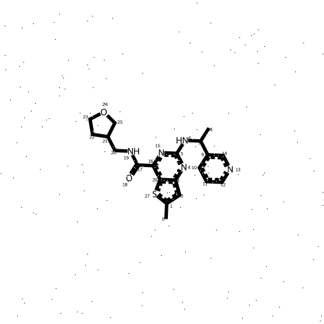 Cc1cc2nc(NC(C)c3cccnc3)nc(C(=O)NCC3CCOC3)c2s1